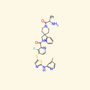 Cc1ccnc(Nc2ncc(Sc3ccnc(C(=O)NCC4(c5ccccc5)CCN(C(=O)C(N)C(C)C)CC4)c3F)s2)c1